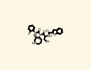 CC(C)CC(NC(=O)c1cc2ccccc2s1)C(=O)N(C(=O)Nc1ccccc1F)[C@H]1CCCNCC1=O